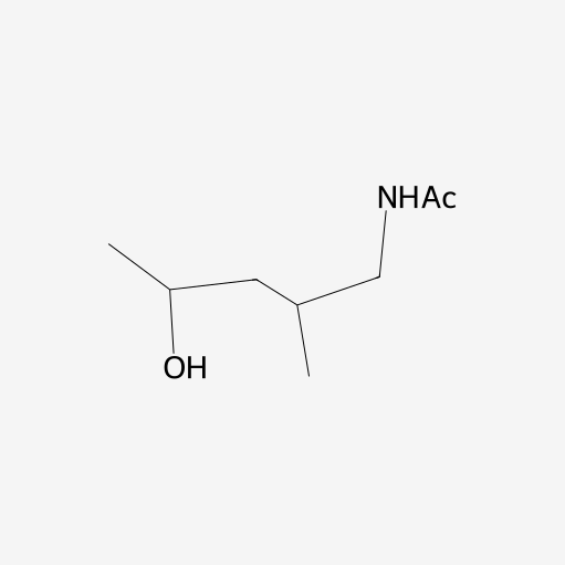 CC(=O)NCC(C)CC(C)O